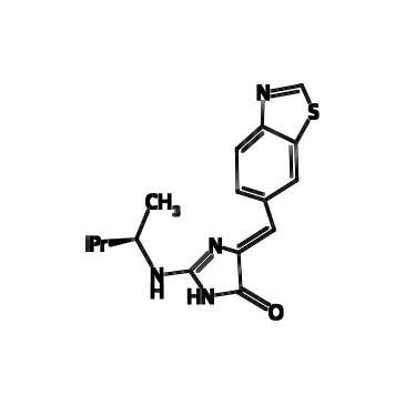 CC(C)[C@@H](C)NC1=N/C(=C\c2ccc3ncsc3c2)C(=O)N1